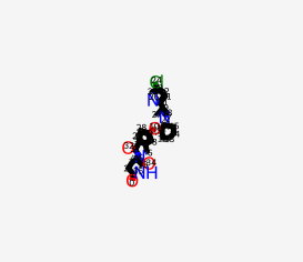 O=C1CC[C@@H](N2Cc3cc(O[C@H]4CCCC[C@@H]4N4CC(c5ccc(Cl)cn5)C4)ccc3C2=O)C(=O)N1